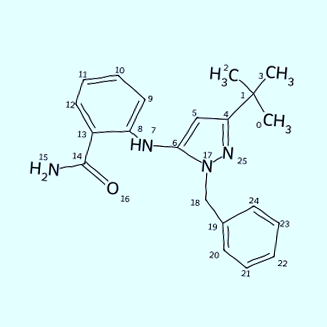 CC(C)(C)c1cc(Nc2ccccc2C(N)=O)n(Cc2ccccc2)n1